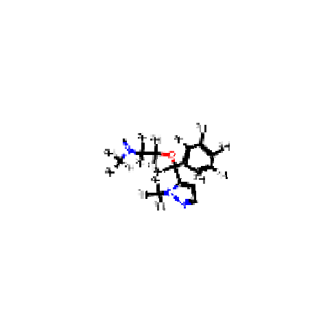 [2H]c1c([2H])c([2H])c(C([2H])(OC([2H])([2H])C([2H])([2H])N(C)C([2H])([2H])[2H])c2ccnn2C([2H])([2H])[2H])c([2H])c1[2H]